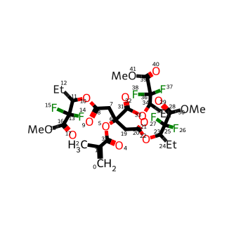 C=C(C)C(=O)OC(CC(=O)OC(CC)C(F)(F)C(=O)OC)(CC(=O)OC(CC)C(F)(F)C(=O)OC)C(=O)OC(CC)C(F)(F)C(=O)OC